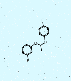 C[C](Oc1ccc(F)cc1)Oc1cccc(F)c1